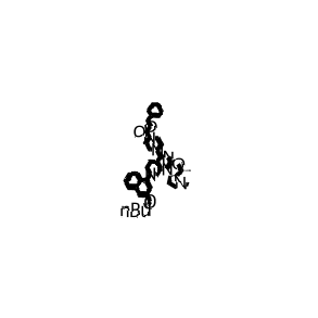 CCCCOc1cc(N2CCc3c(nc(O[C@H](C)[C@H]4CCCN4C)nc3N3CCN(C(=O)OCc4ccccc4)CC3)C2)c2ccccc2c1